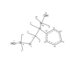 CC(C)(O[Si](C)(C)O)C(C)(c1ccccc1)[Si](C)(C)O